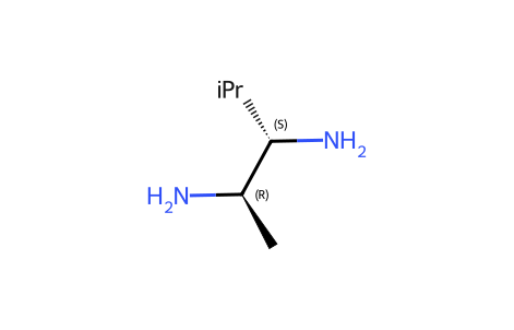 CC(C)[C@H](N)[C@@H](C)N